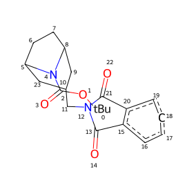 CC(C)(C)OC(=O)N1C2CCC1CC(CN1C(=O)c3ccccc3C1=O)C2